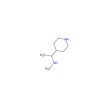 CNC(C)C1CCNCC1